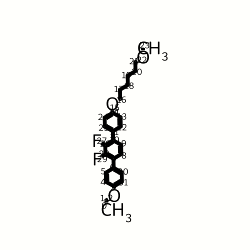 CCOc1ccc(-c2ccc(-c3ccc(OCCCCCCOC)cc3)c(F)c2F)cc1